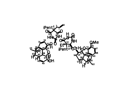 C=CCC1(C(C)CCC)C(=O)NC(=O)NC1=O.CCCC(C)C1(CC)C(=O)NC(=O)NC1=O.CN1CC[C@]23c4c5ccc(O)c4O[C@H]2[C@@H](O)C=C[C@H]3[C@H]1C5.COc1ccc2c3c1O[C@H]1C(=O)CC[C@H]4[C@@H](C2)N(C)CC[C@]314